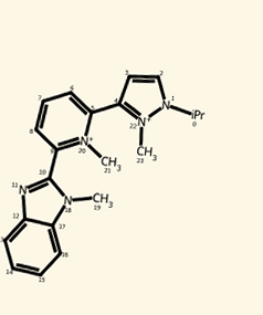 CC(C)n1ccc(-c2cccc(-c3nc4ccccc4n3C)[n+]2C)[n+]1C